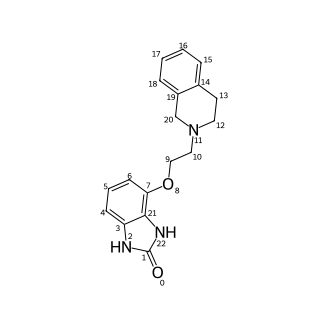 O=c1[nH]c2cccc(OCCN3CCc4ccccc4C3)c2[nH]1